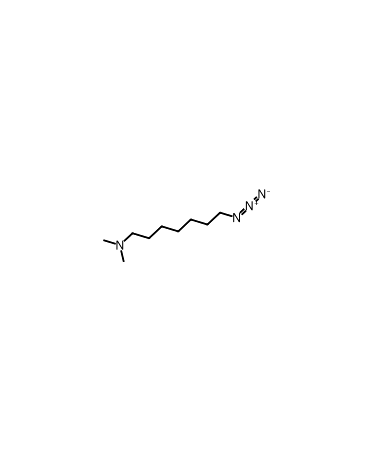 CN(C)CCCCCCCN=[N+]=[N-]